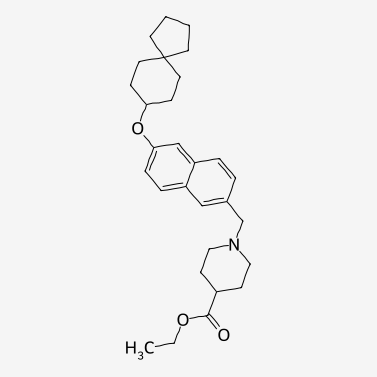 CCOC(=O)C1CCN(Cc2ccc3cc(OC4CCC5(CCCC5)CC4)ccc3c2)CC1